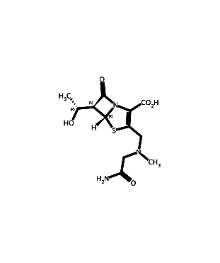 C[C@@H](O)[C@H]1C(=O)N2C(C(=O)O)=C(CN(C)CC(N)=O)S[C@H]12